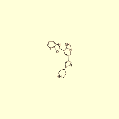 Nc1ncc(-c2cnn(C3CCNCC3)c2)cc1-c1nc2cccnc2o1